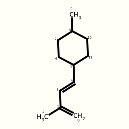 C=C(C)C=CC1CCC(C)CC1